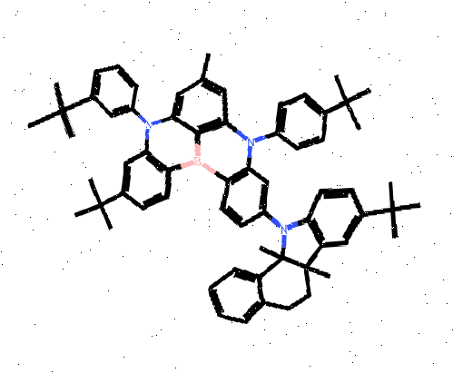 Cc1cc2c3c(c1)N(c1cccc(C(C)(C)C)c1)c1cc(C(C)(C)C)ccc1B3c1ccc(N3c4ccc(C(C)(C)C)cc4C4(C)CCc5ccccc5C34C)cc1N2c1ccc(C(C)(C)C)cc1